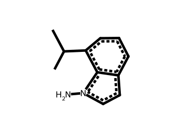 CC(C)c1cccc2ccn(N)c12